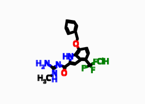 CNC(N)=NC(=O)c1cc2c(C(F)(F)F)ccc(OCc3ccccc3)c2[nH]1.Cl